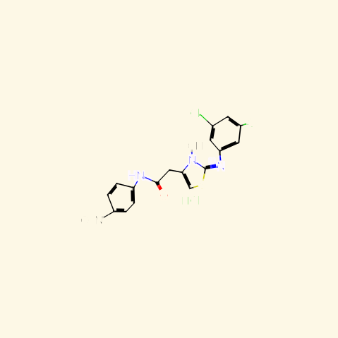 Cl.Cn1c(CC(=O)Nc2ccc([N+](=O)[O-])cc2)cs/c1=N/c1cc(Cl)cc(Cl)c1